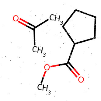 CC(C)=O.COC(=O)C1CCCC1